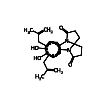 C=C(C)Cc1cc(N2C(=O)CCC23CCC(=O)N3c2ccc(O)c(CC(=C)C)c2)ccc1O